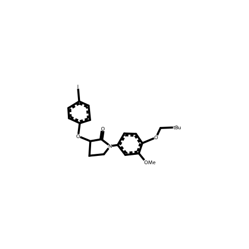 COc1cc(N2CCC(Oc3ccc(I)cc3)C2=O)ccc1OCC(C)(C)C